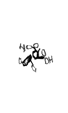 Cc1c(C(=O)O)cccc1C(=O)O.ClCc1cc2c(Cl)cc1OC2